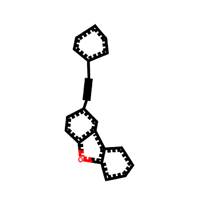 C(#Cc1ccc2oc3ccccc3c2c1)c1cc[c]cc1